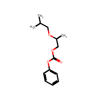 CC(C)COC(C)COC(=O)Oc1ccccc1